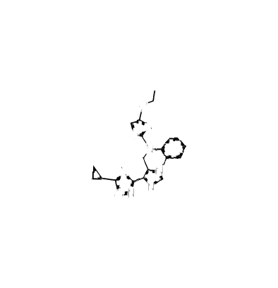 CCOc1coc(N2Cc3c(-c4noc(C5CC5)n4)ncn3-c3ccccc32)n1